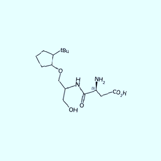 CC(C)(C)C1CCCC1OCC(CO)NC(=O)[C@@H](N)CC(=O)O